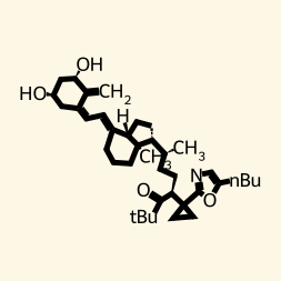 C=C1/C(=C\C=C2/CCC[C@]3(C)[C@@H]([C@H](C)CC[C@H](C(=O)C(C)(C)C)C4(c5ncc(CCCC)o5)CC4)CC[C@@H]23)C[C@@H](O)C[C@@H]1O